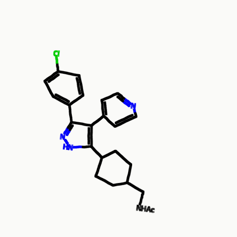 CC(=O)NCC1CCC(c2[nH]nc(-c3ccc(Cl)cc3)c2-c2ccncc2)CC1